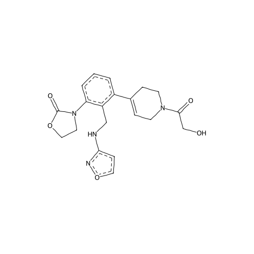 O=C(CO)N1CC=C(c2cccc(N3CCOC3=O)c2CNc2ccon2)CC1